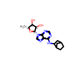 C[C@H]1O[C@@H](n2cnc3c(NC4CC5CCC4C5)ncnc32)[C@H](O)[C@@H]1O